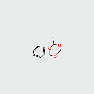 FC1OCOCO1.c1ccccc1